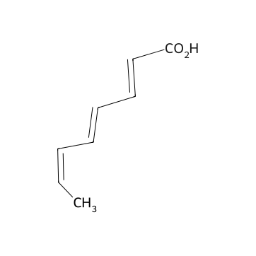 C\C=C/C=C/C=C/C(=O)O